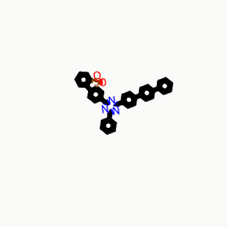 O=S1(=O)c2ccccc2-c2ccc(-c3nc(-c4ccccc4)nc(-c4ccc(-c5ccc(-c6ccccc6)cc5)cc4)n3)cc21